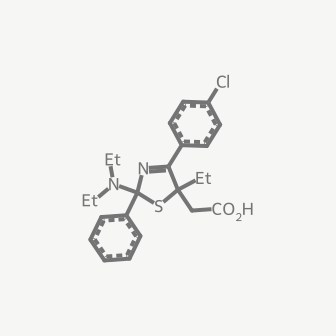 CCN(CC)C1(c2ccccc2)N=C(c2ccc(Cl)cc2)C(CC)(CC(=O)O)S1